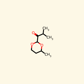 CC1CCOC(C(=O)C(C)C)O1